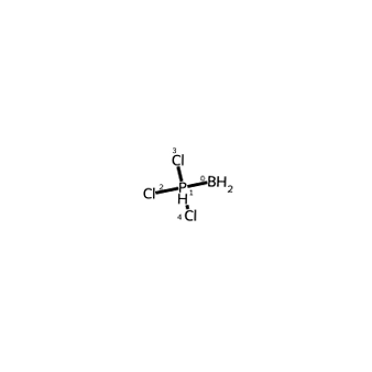 B[PH](Cl)(Cl)Cl